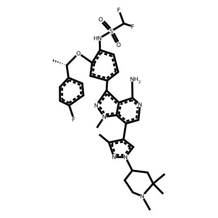 Cc1nn(C2CCN(C)C(C)(C)C2)cc1-c1cnc(N)c2c(-c3ccc(NS(=O)(=O)C(F)F)c(O[C@@H](C)c4ccc(F)cc4)c3)nn(C)c12